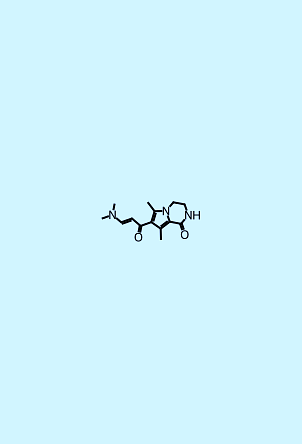 Cc1c(C(=O)/C=C/N(C)C)c(C)n2c1C(=O)NCC2